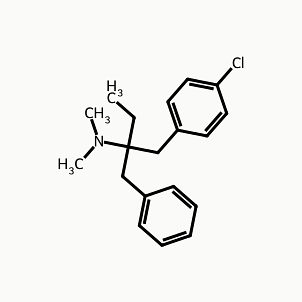 CCC(Cc1ccccc1)(Cc1ccc(Cl)cc1)N(C)C